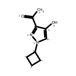 CC(=O)c1nn(C2CCC2)cc1O